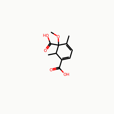 COC1(C(=O)O)C(C)=CC=C(C(=O)O)C1C